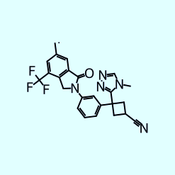 [CH2]c1cc2c(c(C(F)(F)F)c1)CN(c1cccc(C3(c4nncn4C)CC(C#N)C3)c1)C2=O